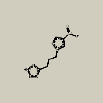 O=[N+]([O-])c1cnn(CCCc2nn[nH]n2)c1